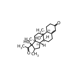 CC(=O)[C@@]1(O)C(C)C[C@H]2[C@@H]3CCC4=CC(=O)CC[C@]4(C)[C@@]3(O)CC[C@@]21C